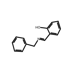 Oc1ccccc1C=NCc1ccccc1